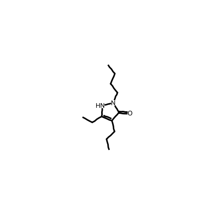 CCCCn1[nH]c(CC)c(CCC)c1=O